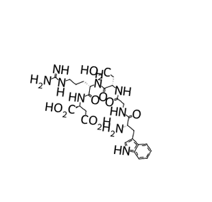 N=C(N)NCCC[C@H](NC(=O)[C@H](CC(=O)O)NC(=O)CNC(=O)[C@@H](N)Cc1c[nH]c2ccccc12)C(=O)N[C@@H](CC(=O)O)C(=O)O